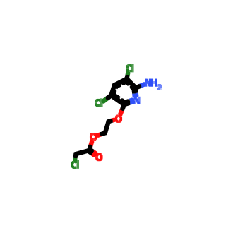 Nc1nc(OCCOC(=O)CCl)c(Cl)cc1Cl